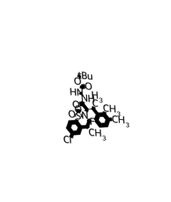 Cc1ccc(F)c(C(C)[C@@H](C(=O)NNC(=O)OC(C)(C)C)N2CC(C)c3cc(Cl)ccc3S2(=O)=O)c1C